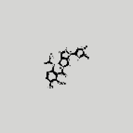 COc1c(C#N)ccc(O[C@@H](C)C(F)(F)F)c1C(=O)N1Cc2cnn(-c3cn(C)c(C)n3)c2C1